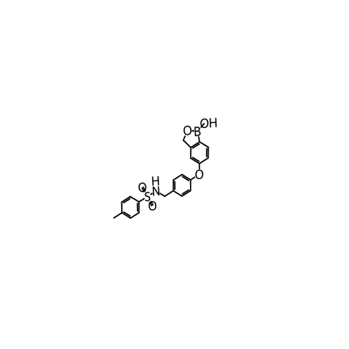 Cc1ccc(S(=O)(=O)NCc2ccc(Oc3ccc4c(c3)COB4O)cc2)cc1